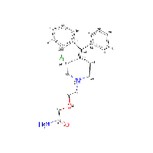 NC(=O)COCCN1CCC(=C(c2ccccc2)c2ccccc2Cl)CC1